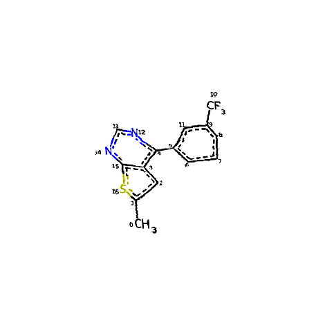 Cc1cc2c(-c3cccc(C(F)(F)F)c3)ncnc2s1